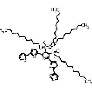 CCCCCCCCCCOP(=O)(OCCCCCCCCCC)c1c(-c2ccc(-c3cccs3)s2)sc(-c2ccc(-c3cccs3)s2)c1P(=O)(OCCCCCCCCCC)OCCCCCCCCCC